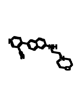 N#Cc1cnccc1-c1ccc2cc(NCCN3CCOCC3)ccc2c1